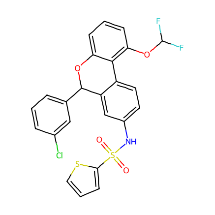 O=S(=O)(Nc1ccc2c(c1)C(c1cccc(Cl)c1)Oc1cccc(OC(F)F)c1-2)c1cccs1